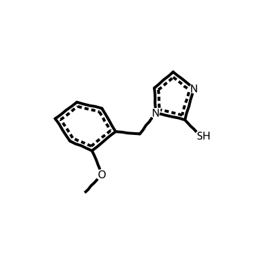 COc1ccccc1Cn1ccnc1S